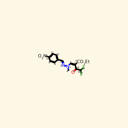 CCOC(=O)C(=CN(C)N=Cc1ccc([N+](=O)[O-])cc1)C(=O)C(F)F